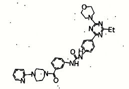 CCc1nc(-c2ccc(NC(=O)Nc3cccc(C(=O)N4CCN(c5ccccn5)CC4)c3)cc2)nc(N2CCOCC2)n1